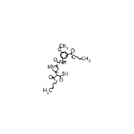 C=CCOC(=O)c1cc(NC(=O)[C@@H]2C[C@@H](C(C(=O)S)C(=O)OCC=C)CN2)cc(OC)c1